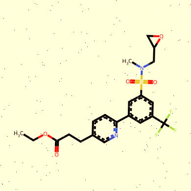 CCOC(=O)CCc1ccc(-c2cc(C(F)(F)F)cc(S(=O)(=O)N(C)CC3CO3)c2)nc1